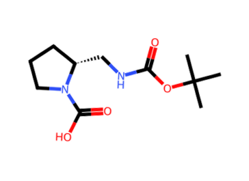 CC(C)(C)OC(=O)NC[C@H]1CCCN1C(=O)O